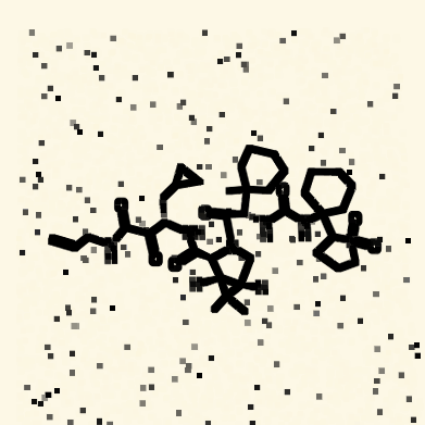 C=CCNC(=O)C(=O)[C@H](CC1CC1)NC(=O)[C@@H]1[C@@H]2[C@H](CN1C(=O)[C@@H](NC(=O)NC1(C3CCCS3(=O)=O)CCCCC1)C1(C)CCCCC1)C2(C)C